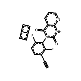 C#Cc1ccc(F)c(-n2c(=O)[nH]c3ncccc3c2=O)c1F.c1cc2ccc1-2